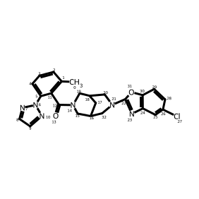 Cc1cccc(-n2nccn2)c1C(=O)N1CC2CC(C1)CN(c1nc3cc(Cl)ccc3o1)C2